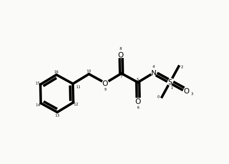 CS(C)(=O)=NC(=O)C(=O)OCc1ccccc1